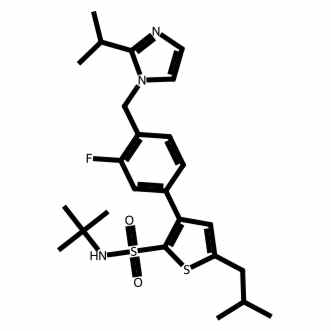 CC(C)Cc1cc(-c2ccc(Cn3ccnc3C(C)C)c(F)c2)c(S(=O)(=O)NC(C)(C)C)s1